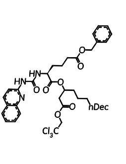 CCCCCCCCCCCCCC(CC(=O)OCC(Cl)(Cl)Cl)OC(=O)[C@H](CCCC(=O)OCc1ccccc1)NC(=O)Nc1ccc2ccccc2n1